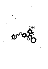 O=C(c1ccc(OCCN2CCCCC2)cc1)c1c(/C2=C/CCCCCC2)sc2cc(O)ccc12